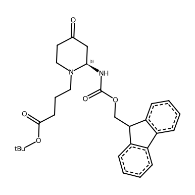 CC(C)(C)OC(=O)CCCN1CCC(=O)C[C@H]1NC(=O)OCC1c2ccccc2-c2ccccc21